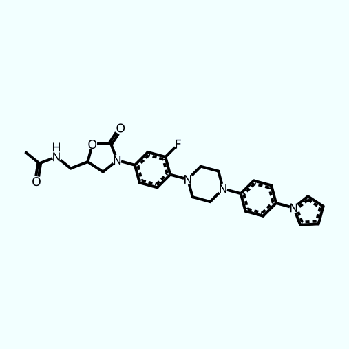 CC(=O)NCC1CN(c2ccc(N3CCN(c4ccc(-n5cccc5)cc4)CC3)c(F)c2)C(=O)O1